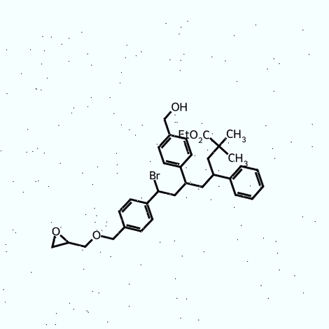 CCOC(=O)C(C)(C)CC(CC(CC(Br)c1ccc(COCC2CO2)cc1)c1ccc(CO)cc1)c1ccccc1